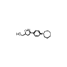 OCC1CC(c2ccc(N3CCCCCC3)cc2)=NO1